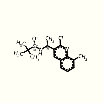 Cc1cccc2cc([C@H](C)N[S@+]([O-])C(C)(C)C)c(Cl)nc12